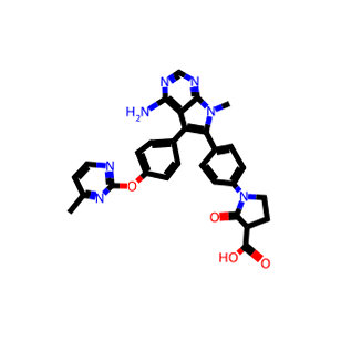 Cc1ccnc(Oc2ccc(-c3c(-c4ccc(N5CCC(C(=O)O)C5=O)cc4)n(C)c4ncnc(N)c34)cc2)n1